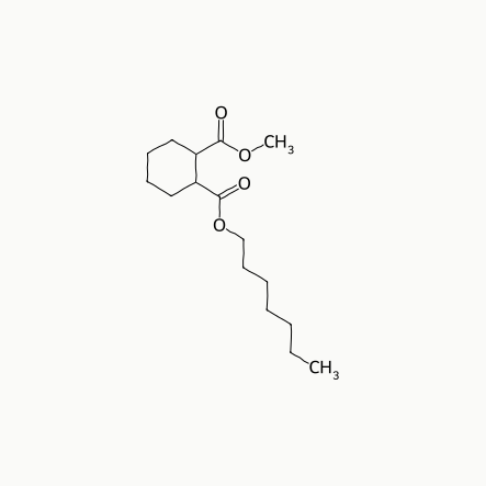 CCCCCCCOC(=O)C1CCCCC1C(=O)OC